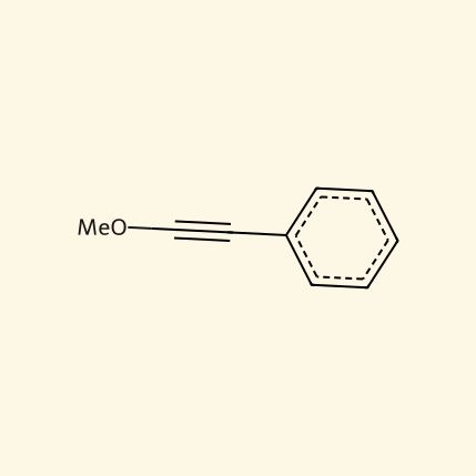 COC#Cc1ccccc1